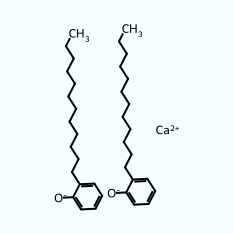 CCCCCCCCCCCCc1ccccc1[O-].CCCCCCCCCCCCc1ccccc1[O-].[Ca+2]